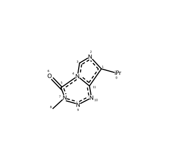 CC(C)c1ncn2c(=O)n(C)nnc12